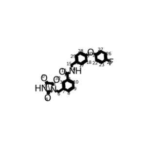 O=C1NC(=O)N(Cc2cccc(C(=O)NCc3ccc(Oc4ccc(F)cc4)cc3)c2)C1=O